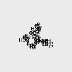 CN(C)C(C)(C)CNc1nc(OC[C@]23CCCN2C[C@@H](F)C3)nc2c(F)c(-c3cc(O)cc4ccccc34)ncc12.O=C(O)C(F)(F)F.O=C(O)C(F)(F)F